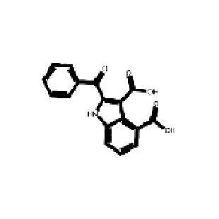 O=C(c1ccccc1)c1[nH]c2cccc(C(=O)O)c2c1C(=O)O